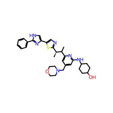 CC(c1cc(CN2CCOCC2)cc(NC2CCC(O)CC2)n1)[C@@H](C)c1ncc(-c2c[nH]c(-c3ccccc3)n2)s1